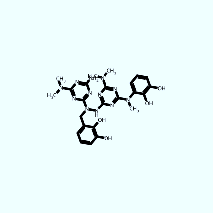 CN(C)c1nc(N)nc(N(Cc2cccc(O)c2O)Nc2nc(N(C)C)nc(N(C)c3cccc(O)c3O)n2)n1